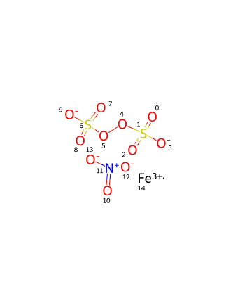 O=S(=O)([O-])OOS(=O)(=O)[O-].O=[N+]([O-])[O-].[Fe+3]